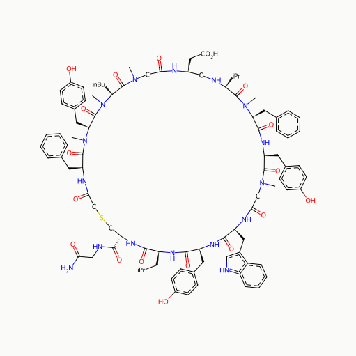 CCCC[C@H]1C(=O)N(C)CC(=O)N[C@@H](CC(=O)O)CN[C@@H](C(C)C)C(=O)N(C)[C@@H](Cc2ccccc2)C(=O)N[C@@H](Cc2ccc(O)cc2)C(=O)N(C)CC(=O)N[C@@H](Cc2c[nH]c3ccccc23)C(=O)N[C@@H](Cc2ccc(O)cc2)C(=O)N[C@@H](CC(C)C)C(=O)N[C@H](C(=O)NCC(N)=O)CSCC(=O)N[C@@H](Cc2ccccc2)C(=O)N(C)[C@@H](Cc2ccc(O)cc2)C(=O)N1C